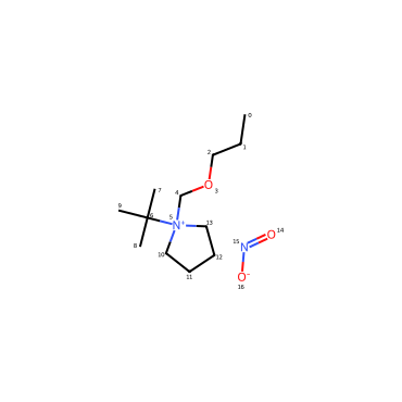 CCCOC[N+]1(C(C)(C)C)CCCC1.O=N[O-]